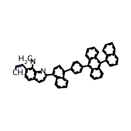 C=Nc1c(/C=C\C)ccc2ccc(-c3ccc(-c4ccc(-c5c6ccccc6c(-c6cccc7ccccc67)c6ccccc56)cc4)c4ccccc34)nc12